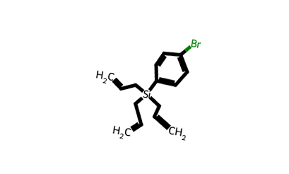 C=CC[Si](CC=C)(CC=C)c1ccc(Br)cc1